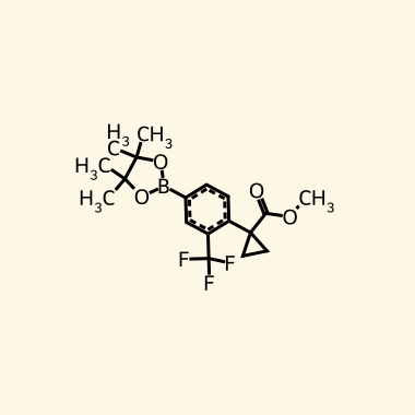 COC(=O)C1(c2ccc(B3OC(C)(C)C(C)(C)O3)cc2C(F)(F)F)CC1